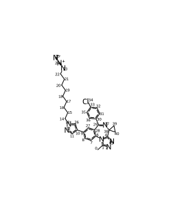 Cc1nnc2n1-c1ccc(-c3cnn(CCCCCCCCCN=[N+]=[N-])c3)cc1C(c1ccc(Cl)cc1)=NC21CC1